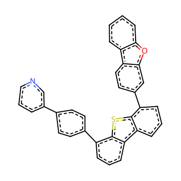 c1cncc(-c2ccc(-c3cccc4c3sc3c(-c5ccc6c(c5)oc5ccccc56)cccc34)cc2)c1